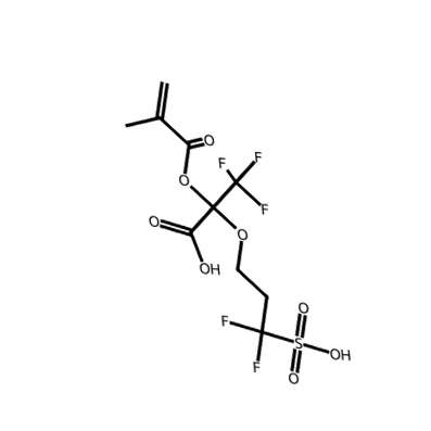 C=C(C)C(=O)OC(OCCC(F)(F)S(=O)(=O)O)(C(=O)O)C(F)(F)F